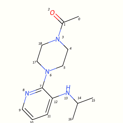 CC(=O)N1CCN(c2ncccc2NC(C)C)CC1